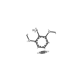 COc1cccc(OC)c1N.N#N